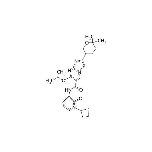 CC(C)Oc1nc2nc(C3CCC(C)(C)OC3)cn2cc1C(=O)Nc1cccn(C2CCC2)c1=O